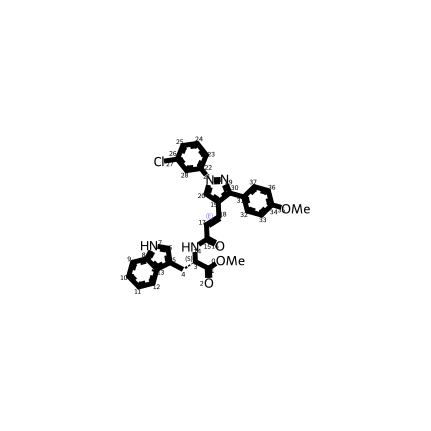 COC(=O)[C@H](Cc1c[nH]c2ccccc12)NC(=O)/C=C/c1cn(-c2cccc(Cl)c2)nc1-c1ccc(OC)cc1